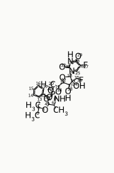 CC(C)OC(=O)[C@H](C)N[P@](=O)(Oc1ccccc1)O[C@H](C)[C@H]1O[C@@H](n2cc(F)c(=O)[nH]c2=O)[C@@](O)(CF)C1O